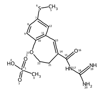 CS(=O)(=O)O.CSc1ccc2c(c1)C=C(C(=O)NC(=N)N)CCO2